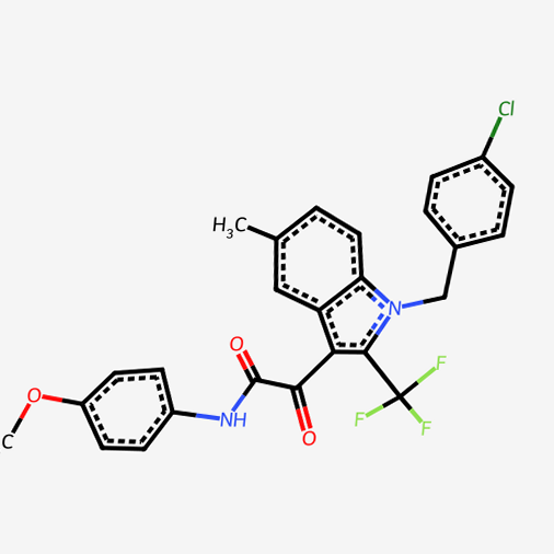 COc1ccc(NC(=O)C(=O)c2c(C(F)(F)F)n(Cc3ccc(Cl)cc3)c3ccc(C)cc23)cc1